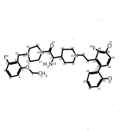 CCOc1cccc(F)c1CN1CCN(C(=O)[C@H](N)C2CCN(CCc3c(-c4ccccc4Cl)ccc(Cl)c3F)CC2)CC1